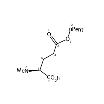 CCCCCOC(=O)CC[C@H](NC)C(=O)O